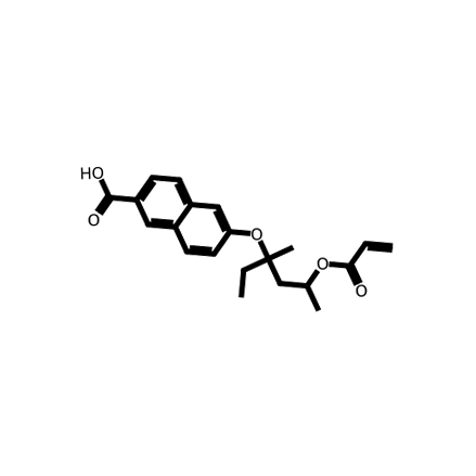 C=CC(=O)OC(C)CC(C)(CC)Oc1ccc2cc(C(=O)O)ccc2c1